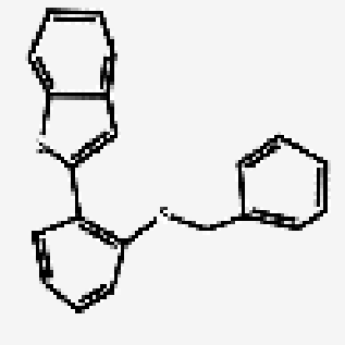 [c]1cccc(-c2cc3ccccc3s2)c1SCc1ccccc1